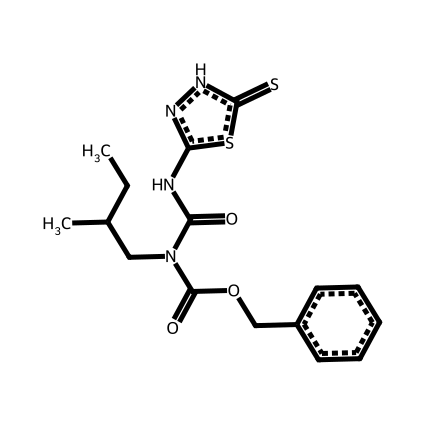 CCC(C)CN(C(=O)Nc1n[nH]c(=S)s1)C(=O)OCc1ccccc1